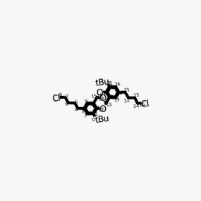 CC(C)(C)c1cc(CCCCCl)cc2c1OC1OC2Oc2c1cc(CCCCCl)cc2C(C)(C)C